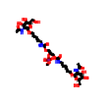 COP(=O)(O)OC(COC(=O)NCCCCCOC1O[C@H](CO)C(O)[C@H](O)[C@H]1NC(C)=O)COC(=O)NCCCCCOC1O[C@H](CO)C(O)[C@H](O)[C@H]1NC(C)=O